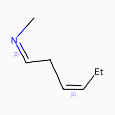 CC/C=C\C/C=N\C